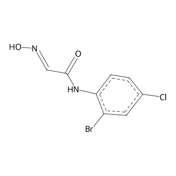 O=C(C=NO)Nc1ccc(Cl)cc1Br